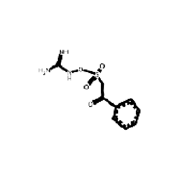 N=C(N)NOS(=O)(=O)CC(=O)c1ccccc1